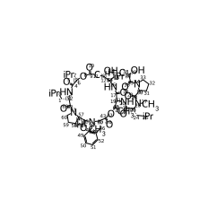 CC(C)C[C@@H]1NC(=O)[C@H](C(C)C)OC(=O)C[C@H](O)[C@@H](C(C)C)NC(=O)[C@@H](NC(=O)[C@@H](CC(C)C)N(C)C(=O)[C@@H]2CCCN2C(=O)[C@H](C)O)[C@@H](C)OC(=O)[C@H](Cc2ccccc2)N(C)C(=O)[C@@H]2CCCN2C1=O